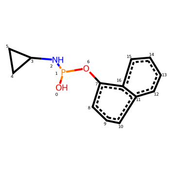 OP(NC1CC1)Oc1cccc2ccccc12